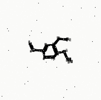 NOc1ccc(N=O)cc1CF